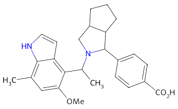 COc1cc(C)c2[nH]ccc2c1C(C)N1CC2CCCC2C1c1ccc(C(=O)O)cc1